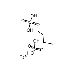 CCCC.O=S(=O)(O)O.O=S(=O)(O)O.S